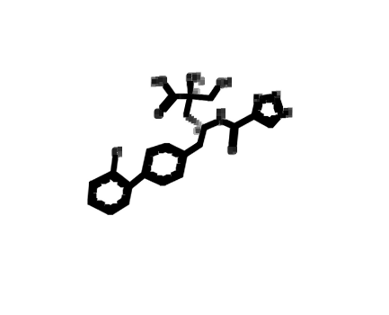 C[C@@](CO)(C[C@@H](Cc1ccc(-c2ccccc2Cl)cc1)NC(=O)c1c[nH]nn1)C(=O)O